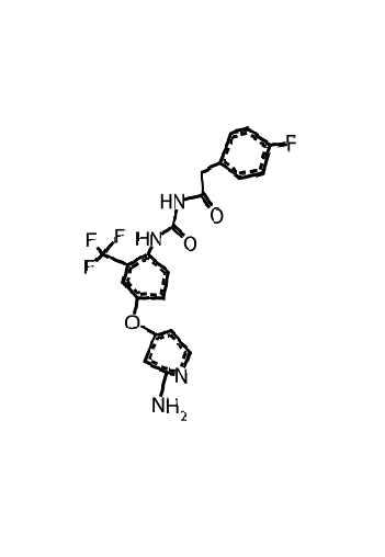 Nc1cc(Oc2ccc(NC(=O)NC(=O)Cc3ccc(F)cc3)c(C(F)(F)F)c2)ccn1